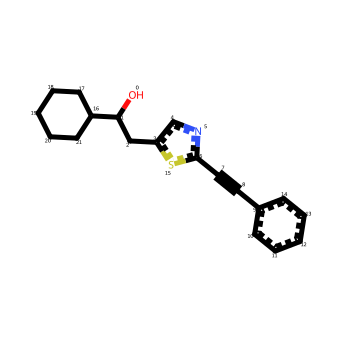 OC(Cc1cnc(C#Cc2ccccc2)s1)C1CCCCC1